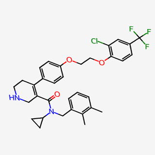 Cc1cccc(CN(C(=O)C2=C(c3ccc(OCCOc4ccc(C(F)(F)F)cc4Cl)cc3)CCNC2)C2CC2)c1C